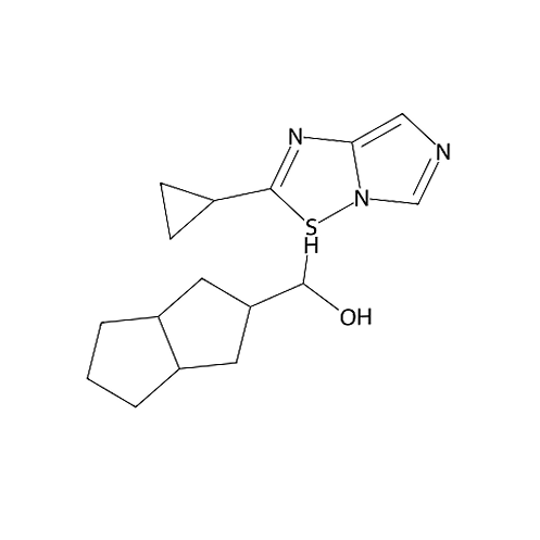 OC(C1CC2CCCC2C1)[SH]1C(C2CC2)=Nc2cncn21